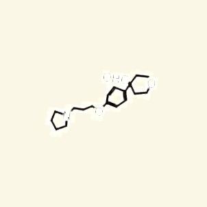 O=CC1(c2ccc(OCCCN3CCCC3)cc2)CCOCC1